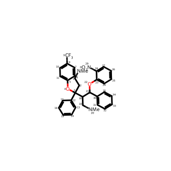 CNC[CH]C(Oc1ccc(C(F)(F)F)cc1)(c1ccccc1)C(CNC)[C](Oc1ccccc1[N+](=O)[O-])c1ccccc1